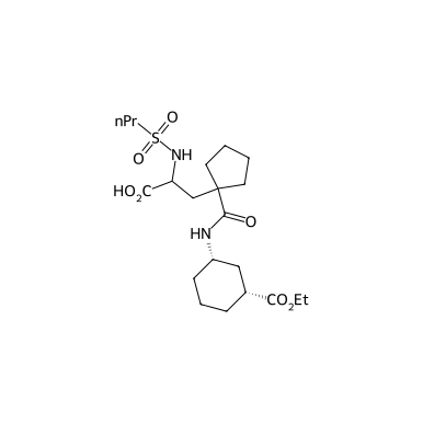 CCCS(=O)(=O)NC(CC1(C(=O)N[C@H]2CCC[C@@H](C(=O)OCC)C2)CCCC1)C(=O)O